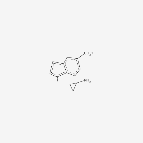 NC1CC1.O=C(O)c1ccc2[nH]ccc2c1